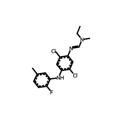 CCN(C)C=Nc1cc(Cl)c(Nc2cc(C)ccc2F)cc1Cl